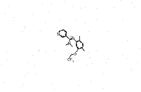 Cc1cc(C)c(SCC(F)(F)F)cc1/N=C(/c1cccnc1)N(C)C